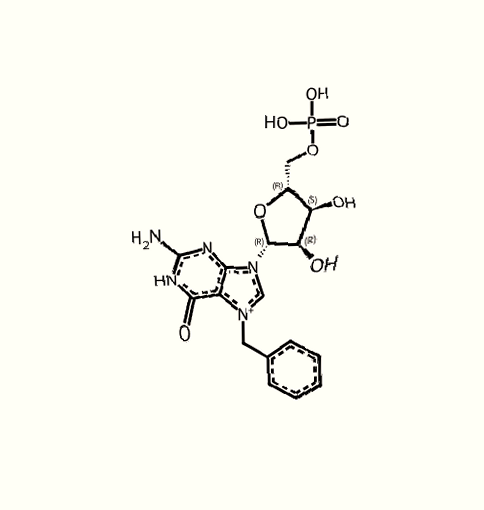 Nc1nc2c(c(=O)[nH]1)[n+](Cc1ccccc1)cn2[C@@H]1O[C@H](COP(=O)(O)O)[C@@H](O)[C@H]1O